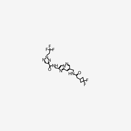 O=C(CC1CC(F)(F)C1)NCc1cnn2cc(CNC(=O)c3cnn(CCC(F)(F)F)n3)nc2c1